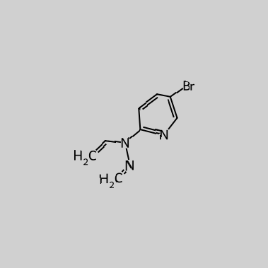 C=CN(N=C)c1ccc(Br)cn1